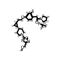 COCc1noc(N2CCC([C@H]3CC3CCOc3ccc(CC(=O)N4CCC[C@@H]4C(F)(F)F)c(F)c3)CC2)n1